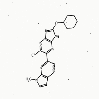 Cn1ccc2ccc(-c3nc4[nH]c(OC5CCCCC5)nc4cc3Cl)cc21